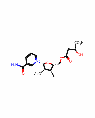 CC(=O)O[C@@H]1[C@H](C)[C@@H](COC(=O)C[C@H](O)C(=O)O)O[C@H]1[n+]1cccc(C(N)=O)c1